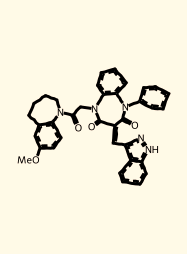 COc1ccc2c(c1)CCCCN2C(=O)CN1C(=O)C(=Cc2n[nH]c3ccccc23)C(=O)N(c2ccccc2)c2ccccc21